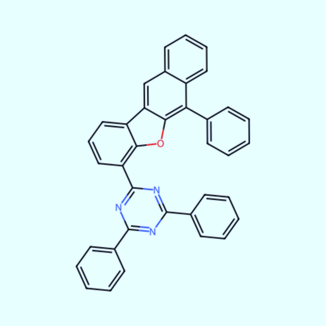 c1ccc(-c2nc(-c3ccccc3)nc(-c3cccc4c3oc3c(-c5ccccc5)c5ccccc5cc34)n2)cc1